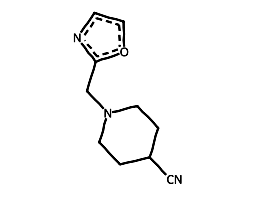 N#CC1CCN(Cc2ncco2)CC1